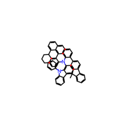 CC1(C)c2ccccc2-c2ccc(-c3ccccc3N(c3ccccc3-c3cccc4cccc(C5CCCCC5)c34)c3cccc4c5ccccc5n(-c5ccccc5)c34)cc21